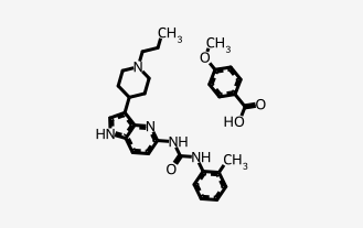 CCCN1CCC(c2c[nH]c3ccc(NC(=O)Nc4ccccc4C)nc23)CC1.COc1ccc(C(=O)O)cc1